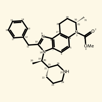 COC(=O)N1c2ccc3c(nc(Cc4ccccc4)n3[C@H](C)[C@H]3CCCNC3)c2CC[C@@H]1C